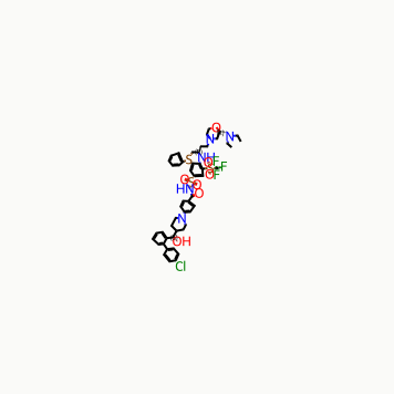 CCN(CC)C[C@@H]1CN(CC[C@H](CSc2ccccc2)Nc2ccc(S(=O)(=O)NC(=O)c3ccc(N4CCC([C@H](O)c5ccccc5-c5ccc(Cl)cc5)CC4)cc3)cc2S(=O)(=O)C(F)(F)F)CCO1